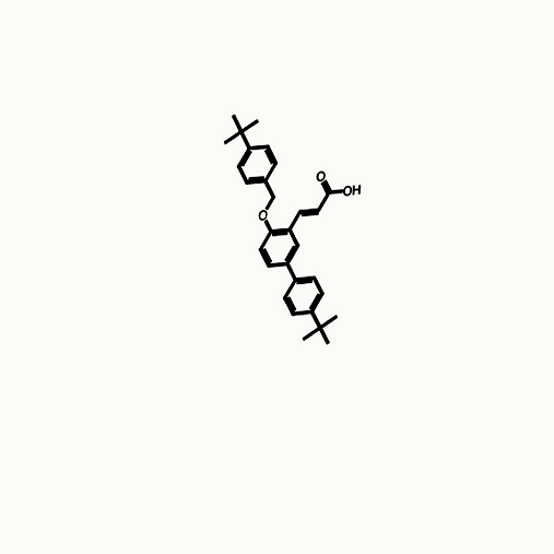 CC(C)(C)c1ccc(COc2ccc(-c3ccc(C(C)(C)C)cc3)cc2C=CC(=O)O)cc1